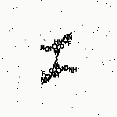 CCNC1CCN(c2ccc(C(=O)Nc3cc(F)c4nc(C)cn4c3)c3nn(CCCCn4cc5c(N6CCC(N(C)C)C6)ccc(C(=O)Nc6cc(F)c7nc(C)cn7c6)c5n4)cc23)C1